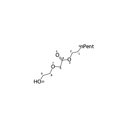 CCCCCCCOC(=O)COCCO